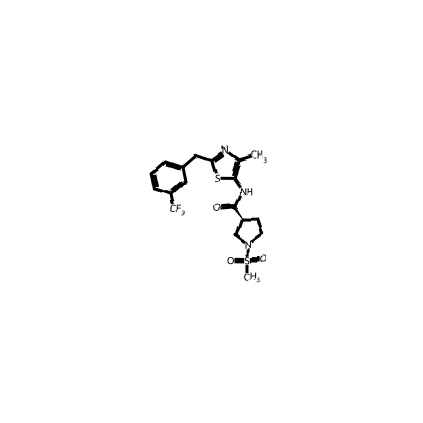 Cc1nc(Cc2cccc(C(F)(F)F)c2)sc1NC(=O)[C@H]1CCN(S(C)(=O)=O)C1